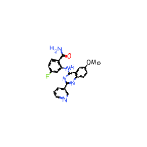 COc1ccc2nc(-c3cccnc3)nc(Nc3cc(F)ccc3C(N)=O)c2c1